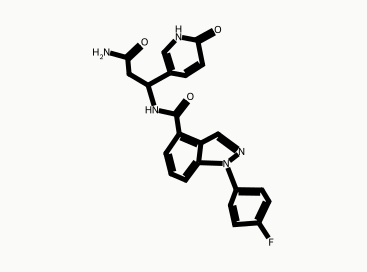 NC(=O)CC(NC(=O)c1cccc2c1cnn2-c1ccc(F)cc1)c1ccc(=O)[nH]c1